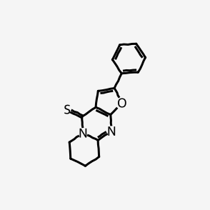 S=c1c2cc(-c3ccccc3)oc2nc2n1CCCC2